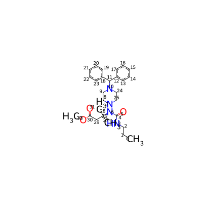 CCCNC(=O)N(N1CCN(C(c2ccccc2)c2ccccc2)CC1)C(C)(C)CC(=O)OC